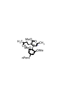 C=C(C)CC[C@@H](C(=O)OC)[C@@H](/C=C/C)c1c(OC)cc(CCCCC)cc1OC